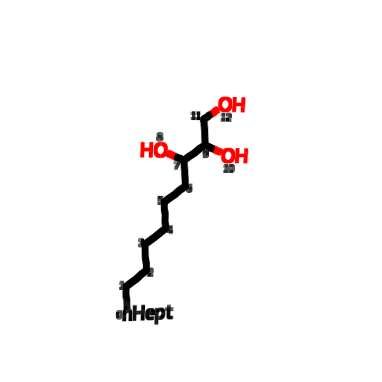 CCCCCCCCCCCCCC(O)C(O)CO